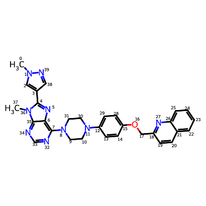 Cn1cc(-c2nc3c(N4CCN(c5ccc(OCc6ccc7ccccc7n6)cc5)CC4)ncnc3n2C)cn1